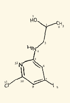 CC(O)CNc1cc(I)cc(Cl)n1